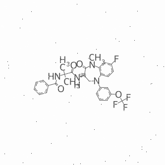 CN1C(=O)[C@H](NC(=O)C(C)(C)NC(=O)c2ccccc2)CN(c2cccc(OC(F)(F)F)c2)c2ccc(F)cc21